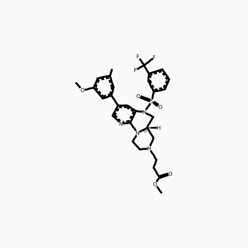 COC(=O)CCN1CCN2c3ncc(-c4cc(C)cc(OC)c4)cc3N(S(=O)(=O)c3cccc(C(F)(F)F)c3)C[C@@H]2C1